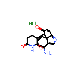 Cl.NC1=CC=CC23C1=CN=C2C=CC(=O)C3C1CCC(=O)NC1=O